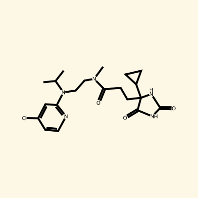 CC(C)N(CCN(C)C(=O)CCC1(C2CC2)NC(=O)NC1=O)c1cc(Cl)ccn1